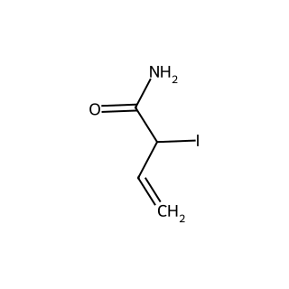 C=CC(I)C(N)=O